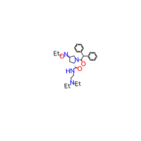 CCON=C1C[C@@H](C(=O)NCCN(CC)CC)N(C(=O)C(c2ccccc2)c2ccccc2)C1